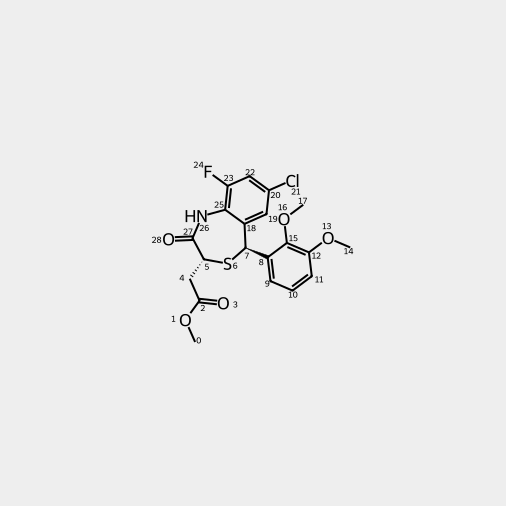 COC(=O)C[C@H]1S[C@H](c2cccc(OC)c2OC)c2cc(Cl)cc(F)c2NC1=O